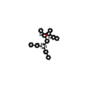 c1ccc(-c2ccc(C3=NC(c4ccc(-n5c6cc7ccccc7cc6c6c7ccccc7ccc65)c(-c5ccc6c(c5)sc5ccccc56)c4)NC(c4ccc(-c5ccccc5)cc4)=N3)cc2)cc1